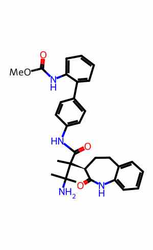 COC(=O)Nc1ccccc1-c1ccc(NC(=O)C(C)([C@H]2CCc3ccccc3NC2=O)C(C)(C)N)cc1